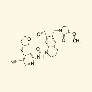 COC1CCN(Cc2cc3c(nc2C=O)N(C(=O)Nc2cc(SC4CCOC4)c(C#N)cn2)CCC3)C1=O